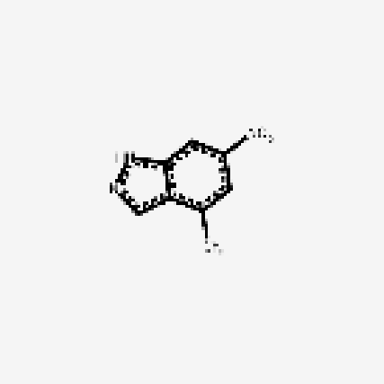 O=[N+]([O-])c1cc(C(F)(F)F)c2cn[nH]c2c1